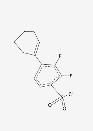 O=S(=O)(Cl)c1ccc(C2=CCCCC2)c(F)c1F